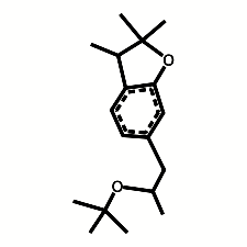 CC(Cc1ccc2c(c1)OC(C)(C)C2C)OC(C)(C)C